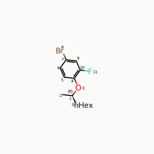 CCCCCC[C@@H](C)Oc1ccc(Br)cc1F